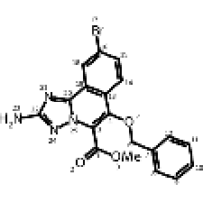 COC(=O)c1c(OCc2ccccc2)c2ccc(Br)cc2c2nc(N)nn12